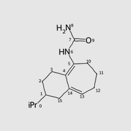 CC(C)C1CCC2=C(NC(N)=O)CCCC=C2C1